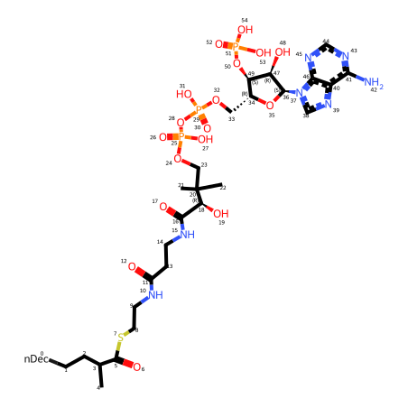 CCCCCCCCCCCCC(C)C(=O)SCCNC(=O)CCNC(=O)[C@H](O)C(C)(C)COP(=O)(O)OP(=O)(O)OC[C@H]1O[C@H](n2cnc3c(N)ncnc32)[C@H](O)[C@@H]1OP(=O)(O)O